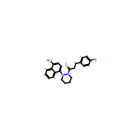 N#Cc1ccc(N2CCCCN2C(=O)CCc2ccc(Br)cc2)c2ccccc12